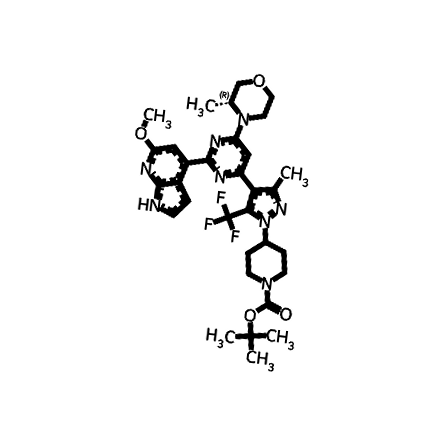 COc1cc(-c2nc(-c3c(C)nn(C4CCN(C(=O)OC(C)(C)C)CC4)c3C(F)(F)F)cc(N3CCOC[C@H]3C)n2)c2cc[nH]c2n1